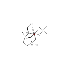 CN1C[C@H]2CC[C@@H]([C@H]1CO)N2C(=O)OC(C)(C)C